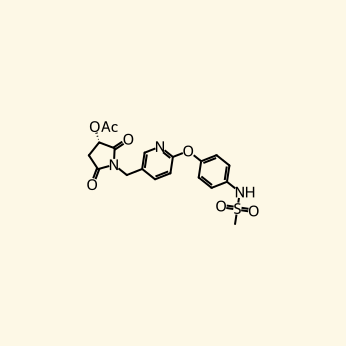 CC(=O)O[C@H]1CC(=O)N(Cc2ccc(Oc3ccc(NS(C)(=O)=O)cc3)nc2)C1=O